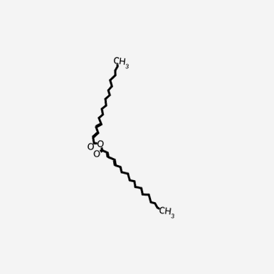 CCCCCCCCCCCCCC=CC=CC(=O)OC(=O)C=CC=CCCCCCCCCCCCCC